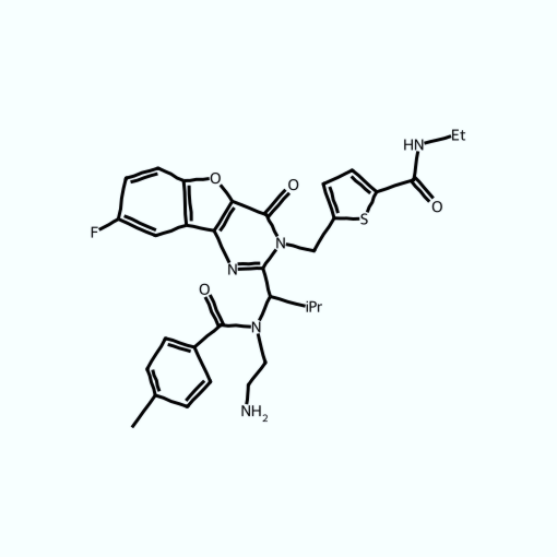 CCNC(=O)c1ccc(Cn2c(C(C(C)C)N(CCN)C(=O)c3ccc(C)cc3)nc3c(oc4ccc(F)cc43)c2=O)s1